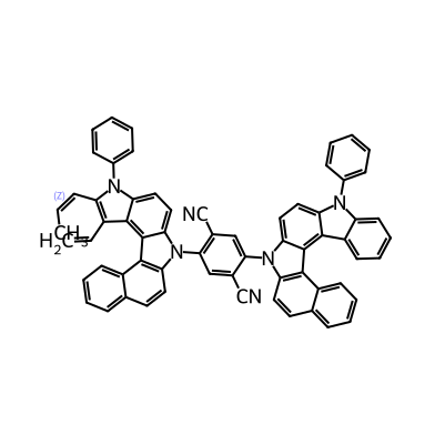 C=Cc1c(/C=C\C)n(-c2ccccc2)c2ccc3c(c12)c1c2ccccc2ccc1n3-c1cc(C#N)c(-n2c3ccc4ccccc4c3c3c4c5ccccc5n(-c5ccccc5)c4ccc32)cc1C#N